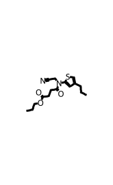 CCCOC(=O)CCC(=O)N(CC#N)c1cc(CCC)cs1